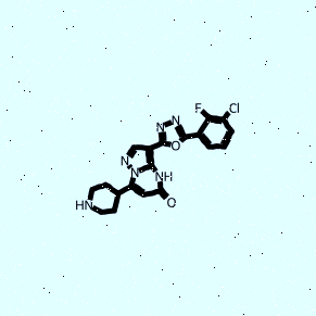 O=c1cc(C2CCNCC2)n2ncc(-c3nnc(-c4cccc(Cl)c4F)o3)c2[nH]1